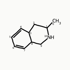 CC1CC2C=CC=CC2CN1